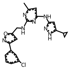 Cc1cc(Nc2cc(C3CC3)[nH]n2)nc(NCc2cc(-c3cccc(Cl)c3)no2)n1